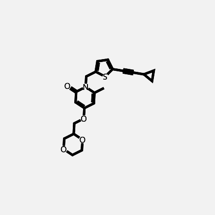 Cc1cc(OCC2COCCO2)cc(=O)n1Cc1ccc(C#CC2CC2)s1